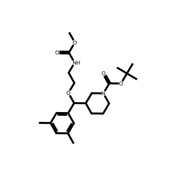 COC(=O)NCCOC(c1cc(C)cc(C)c1)C1CCCN(C(=O)OC(C)(C)C)C1